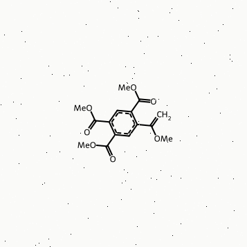 C=C(OC)c1cc(C(=O)OC)c(C(=O)OC)cc1C(=O)OC